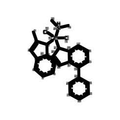 CC1=Cc2ccccc2[CH]1[Zr]([Cl])([Cl])([CH]1C(C)=Cc2c(-c3ccccc3)cccc21)[SiH](C)C